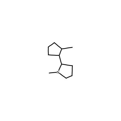 CC1CCCC1C1CCCN1C